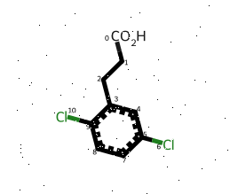 O=C(O)CCc1cc(Cl)ccc1Cl